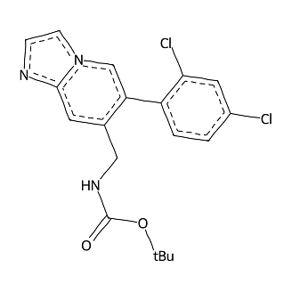 CC(C)(C)OC(=O)NCc1cc2nccn2cc1-c1ccc(Cl)cc1Cl